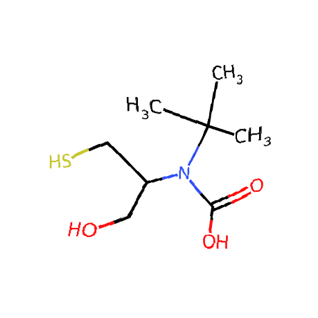 CC(C)(C)N(C(=O)O)C(CO)CS